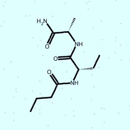 CCCC(=O)N[C@@H](CC)C(=O)N[C@@H](C)C(N)=O